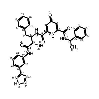 C[C@@H](NC(=O)c1cc(=O)cc(C(=O)NC(Cc2ccccc2)[C@H](O)C(=O)Nc2cccc(-c3nn[nH]n3)c2)[nH]1)c1ccccc1